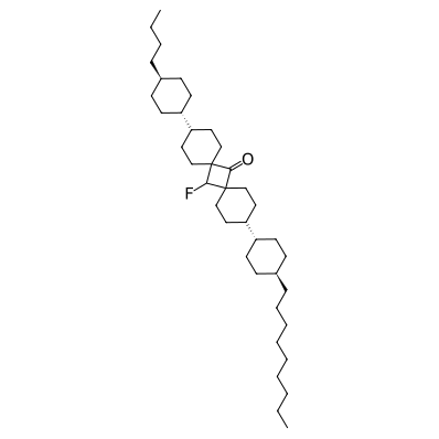 CCCCCCCCC[C@H]1CC[C@H](C2CCC3(CC2)C(=O)C2(CCC([C@H]4CC[C@H](CCCC)CC4)CC2)C3F)CC1